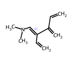 C=CC(=C)/C(C=C)=C/N(C)C